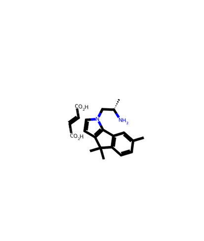 Cc1ccc2c(c1)-c1c(ccn1C[C@H](C)N)C2(C)C.O=C(O)C=CC(=O)O